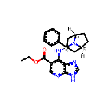 CCOC(=O)c1cnc2[nH]cnc2c1N[C@@H]1C[C@H]2CC[C@@H](C1)N2Cc1ccccc1